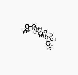 O=C(Nc1nc(-c2cccc(C(F)(F)F)c2F)cs1)c1cnc(N2C[C@@H](C(=O)O)[C@H](c3ccc(C(F)(F)F)cc3)C2)c(Cl)c1